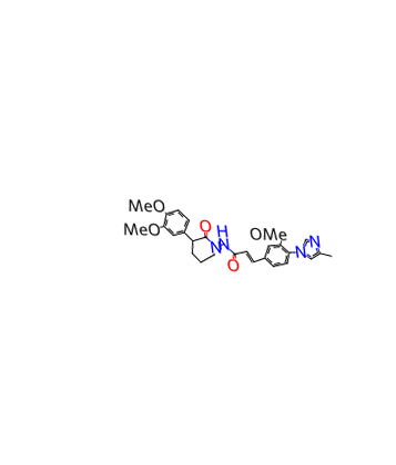 COc1ccc(C2CCCN(NC(=O)/C=C/c3ccc(-n4cnc(C)c4)c(OC)c3)C2=O)cc1OC